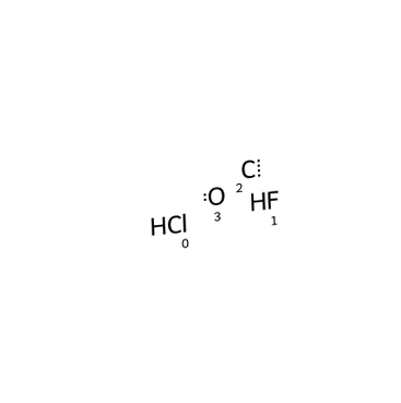 Cl.F.[C].[O]